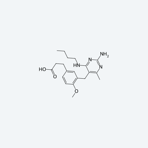 CCCCNc1nc(N)nc(C)c1Cc1cc(CCC(=O)O)ccc1OC